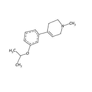 CC(C)Oc1cccc(C2=CCN(C)CC2)c1